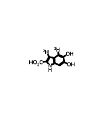 [2H]c1c(C(=O)O)[nH]c2cc(O)c(O)c([2H])c12